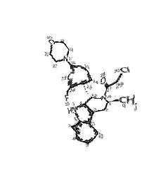 C[C@H]1Cc2c([nH]c3ccccc23)[C@H](c2ccc(N3CCOCC3)cc2F)N1C(=O)CCl